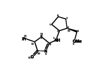 COC[C@@H]1CCCC1NC1=NC(=O)C(C(C)C)S1